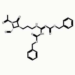 CC(=O)N1C(=O)[C@@H](CCCNC(=NC(=O)OCc2ccccc2)NC(=O)OCc2ccccc2)[C@@H]1C=O